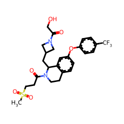 CS(=O)(=O)CCC(=O)N1CCc2ccc(Oc3ccc(C(F)(F)F)cc3)cc2C1CC1CN(C(=O)CO)C1